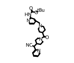 CC(C)(C)OC(=O)Nc1cc(CN2CCC(C(=O)N3CCC(C(C#N)c4ccccn4)CC3)CC2)ccn1